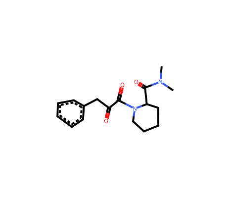 CN(C)C(=O)C1CCCCN1C(=O)C(=O)Cc1ccccc1